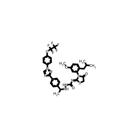 COc1ccc(CC(C)C)c(N2C(=O)CS/C2=N\C(=O)NNC(C)c2ccc(-c3ncn(-c4ccc(OC(F)(F)C(F)(F)F)cc4)n3)cc2)c1